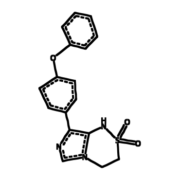 O=S1(=O)CCn2cnc(-c3ccc(Oc4ccccc4)cc3)c2N1